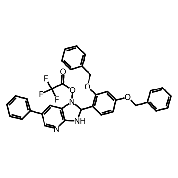 O=C(ON1c2cc(-c3ccccc3)cnc2NC1c1ccc(OCc2ccccc2)cc1OCc1ccccc1)C(F)(F)F